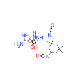 CC1(C)CC(N=C=O)CC(C)(CN=C=O)C1.N=C=O.N=C=O.NC(N)=O